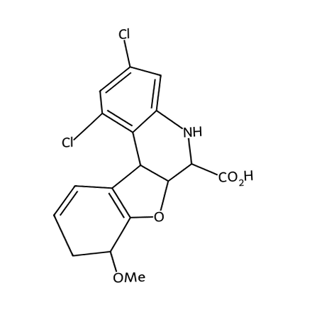 COC1CC=CC2=C1OC1C(C(=O)O)Nc3cc(Cl)cc(Cl)c3C21